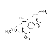 CCCCCCCCCCCCN.CCNC(C)Cc1cccc(C(F)(F)F)c1.Cl